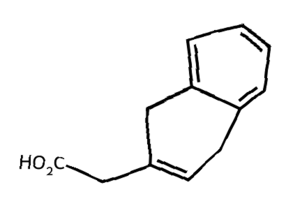 O=C(O)CC1=CCc2ccccc2C1